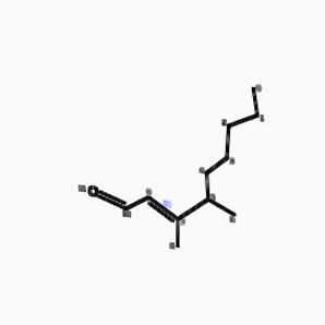 CCCCCC(C)/C(C)=C/C=O